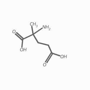 CC(N)(CCC(=O)O)C(=O)O